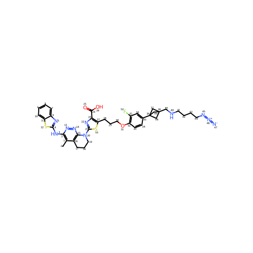 Cc1c(Nc2nc3ccccc3s2)nnc2c1CCCN2c1nc(C(=O)O)c(CCCOc2ccc(C34CC(CNCCCCN=[N+]=[N-])(C3)C4)cc2F)s1